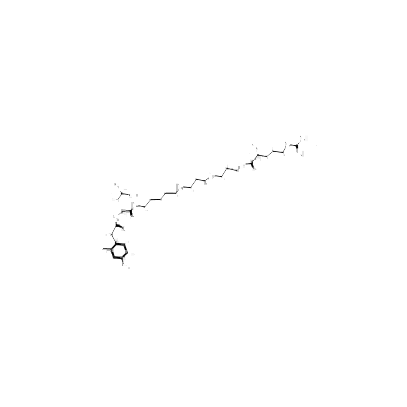 N=C(N)NCCC[C@H](N)C(=O)NCCCNCCCNCCCCCNC(=O)[C@H](CC(N)O)NC(=O)Cc1ccc(O)cc1O